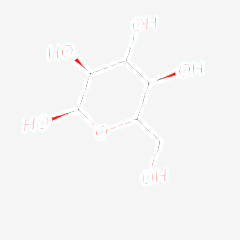 OCC1O[C@@H](O)[C@@H](O)C(O)[C@H]1O